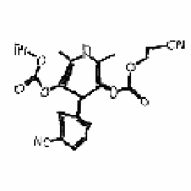 CC1=C(OC(=O)OCCC#N)C(c2cccc(C#N)c2)C(OC(=O)OC(C)C)=C(C)N1